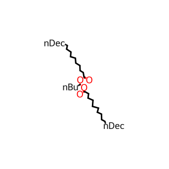 CCCCCCCCCCCCCCCCCCCC(=O)OC(CCCC)OC(=O)CCCCCCCCCCCCCCCCCCC